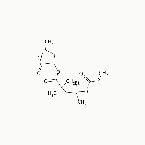 C=CC(=O)OC(C)(CC)CC(C)(C)C(=O)OC1CC(C)OC1=O